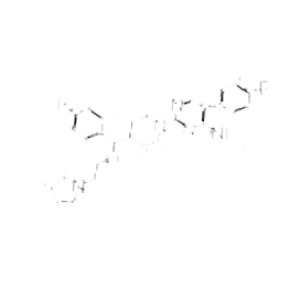 Nc1nc(N2CCC(C(OCCN3CCCC3)c3ccc(F)cc3)CC2)ncc1-c1ccc(F)cc1